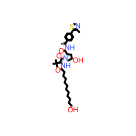 Cc1ncsc1-c1ccc([C@H](C)NC(=O)C2CC(O)CN2C(=O)[C@@H](NC(=O)CCCCCCCCCCCO)C(C)(C)C)cc1